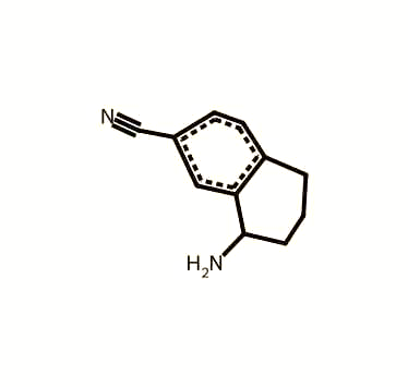 N#Cc1ccc2c(c1)C(N)CCC2